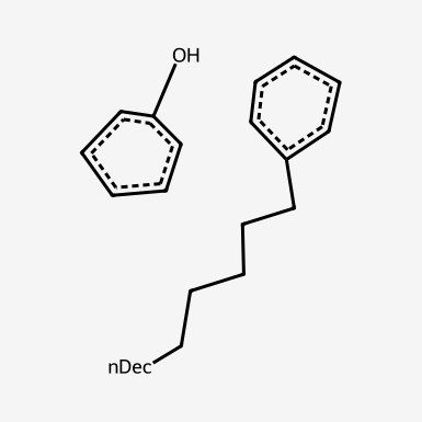 CCCCCCCCCCCCCCCc1ccccc1.Oc1ccccc1